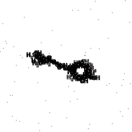 C[C@@H](O)[C@@H]1NC(=O)[C@H]([C@H](O)[C@@H](O)c2ccc(O)cc2)NC(=O)[C@@H]2C[C@@H](O)CN2C(=O)[C@H]([C@@H](C)O)NC(=O)[C@@H](NC(=O)COCCOCCNC(=O)COCCOCCNC(=O)CC[C@H](CC(=O)CC(=O)OC(C)(C)C)C(=O)OC(C)(C)C)C[C@@H](O)[C@@H](O)NC(=O)[C@@H]2[C@@H](O)[C@@H](C)CN2C1=O